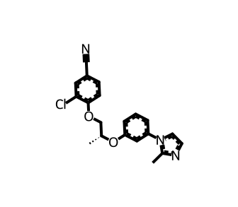 Cc1nccn1-c1cccc(O[C@H](C)COc2ccc(C#N)cc2Cl)c1